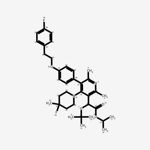 Cc1nc(C)c(C(OC(C)(C)C)C(=O)OC(C)C)c(N2CCC(C)(F)CC2)c1-c1ccc(OCCc2ccc(F)cc2)cc1